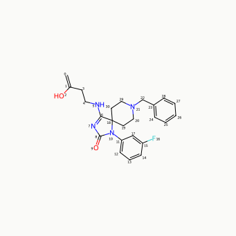 C=C(O)CCNC1=NC(=O)N(c2cccc(F)c2)C12CCN(Cc1ccccc1)CC2